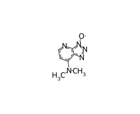 CN(C)c1ccnc2c1nnn2[O]